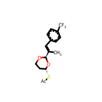 CC(=O)S[C@@H]1CCO[C@@H](C(C)=Cc2ccc(C(F)(F)F)cc2)O1